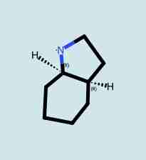 C1CC[C@H]2[N]CC[C@H]2C1